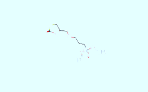 CO[Si](CCCOCC1CSC(=O)O1)(OC)OC